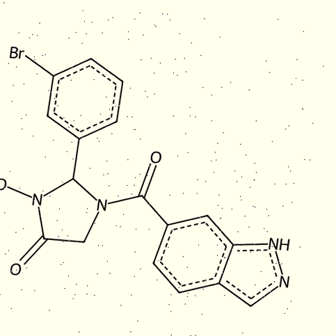 O=C1CN(C(=O)c2ccc3cn[nH]c3c2)C(c2cccc(Br)c2)N1O